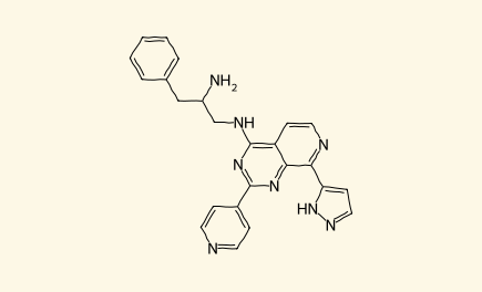 NC(CNc1nc(-c2ccncc2)nc2c(-c3ccn[nH]3)nccc12)Cc1ccccc1